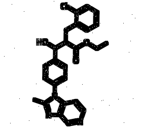 CCOC(=O)C(Cc1ccccc1Cl)C(O)c1ccc(-n2c(C)nc3cnccc32)cc1